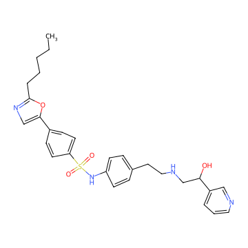 CCCCCc1ncc(-c2ccc(S(=O)(=O)Nc3ccc(CCNCC(O)c4cccnc4)cc3)cc2)o1